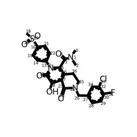 CN(C)C(=O)c1c2c(c(O)c(=O)n1-c1ccc(S(C)(=O)=O)cc1)C(=O)N(Cc1ccc(F)c(Cl)c1)CC2